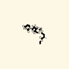 CCOC(=O)[C@@H](C)CCOP1(=O)OC[C@H]2O[C@@H](n3ccc(=O)[nH]c3=O)C(F)(F)[C@@H]2O1